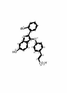 CCC(C)c1ccccc1-c1sc2cc(O)ccc2c1Oc1ccc(C=CC(=O)O)cc1